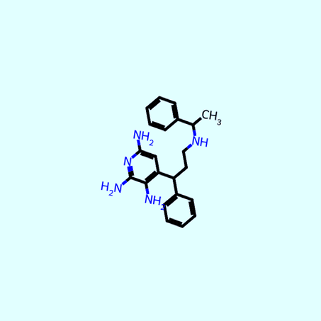 CC(NCCC(c1ccccc1)c1cc(N)nc(N)c1N)c1ccccc1